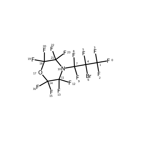 FC(F)(F)C(F)(Br)C(F)(F)N1C(F)(F)C(F)(F)OC(F)(F)C1(F)F